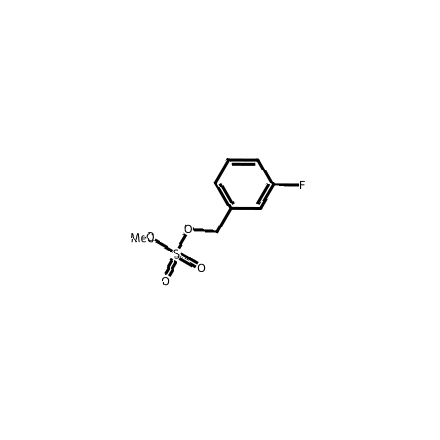 COS(=O)(=O)OCc1cccc(F)c1